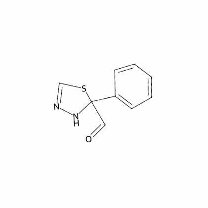 O=CC1(c2ccccc2)NN=CS1